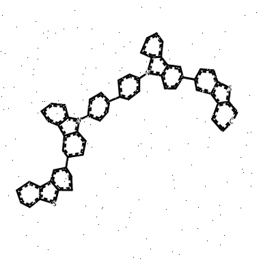 c1ccc2c(c1)sc1ccc(-c3ccc4c(c3)c3ccccc3n4-c3ccc(-c4ccc(-n5c6ccccc6c6cc(-c7ccc8sc9ccccc9c8c7)ccc65)cc4)cc3)cc12